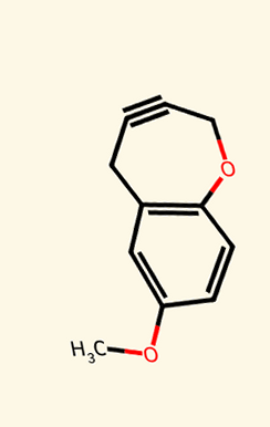 COc1ccc2c(c1)CC#CCO2